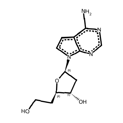 Nc1ncnc2c1ccn2[C@H]1C[C@H](O)[C@@H](CCO)O1